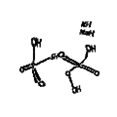 O=S(=O)(O)OO.O=S(=O)(O)S.[KH].[NaH]